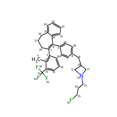 Cc1c(C2=C(c3ccc(CC4CN(CCCF)C4)cc3)c3ccccc3CCC2)cccc1C(F)(F)F